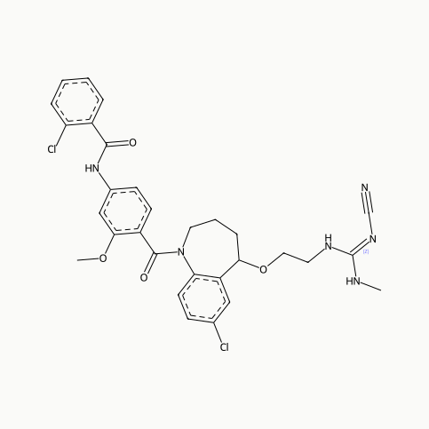 CN/C(=N/C#N)NCCOC1CCCN(C(=O)c2ccc(NC(=O)c3ccccc3Cl)cc2OC)c2ccc(Cl)cc21